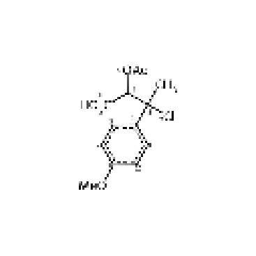 COc1ccc(C(C)(Cl)C(OC(C)=O)C(=O)O)cc1